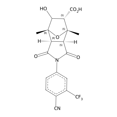 C[C@@]12O[C@@](C)(C(O)[C@@H]1C(=O)O)[C@@H]1C(=O)N(c3ccc(C#N)c(C(F)(F)F)c3)C(=O)[C@@H]12